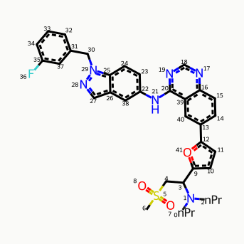 CCCN(CCC)C(CS(C)(=O)=O)c1ccc(-c2ccc3ncnc(Nc4ccc5c(cnn5Cc5cccc(F)c5)c4)c3c2)o1